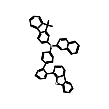 CC1(C)c2ccccc2-c2ccc(N(c3ccc(-c4ccccc4-c4cccc5c4oc4ccccc45)cc3)c3ccc4ccccc4c3)cc21